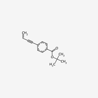 C=CC#Cc1ccc(C(=O)OC(C)(C)C)cc1